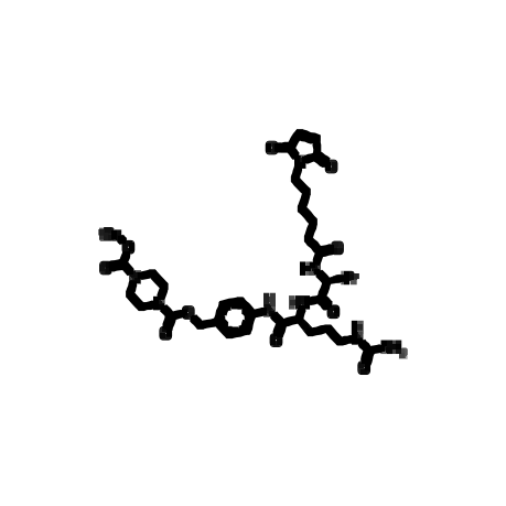 CC(C)[C@H](NC(=O)CCCCCN1C(=O)C=CC1=O)C(=O)N[C@@H](CCCNC(N)=O)C(=O)Nc1ccc(COC(=O)N2CCN(C(=O)OC(C)(C)C)CC2)cc1